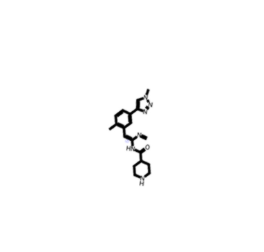 C=N/C(=C\c1cc(-c2cn(C)nn2)ccc1C)NC(=O)C1CCNCC1